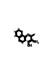 CC(Oc1cccc2c1CCC=C2)C(N)=NO